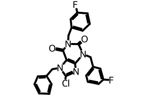 O=c1c2c(nc(Cl)n2Cc2ccccc2)n(Cc2cccc(F)c2)c(=O)n1Cc1cccc(F)c1